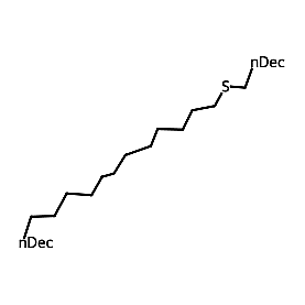 CCCCCCCCCCCCCCCCCCCCCCSCCCCCCCCCCC